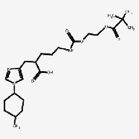 CC1CCC(n2cnc(CC(CCCNC(=O)OCCOC(=O)C(C)(C)C)C(=O)O)c2)CC1